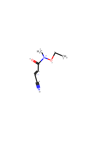 CCON(C)C(=O)/C=C/C#N